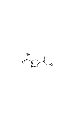 NC(=O)c1ncc(C(=O)CBr)s1